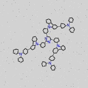 c1ccc(N(c2ccccc2)c2ccc(-c3ccc4c(c3)c3ccccc3n4-c3cccc(-c4cc(-c5cccc(-n6c7ccccc7c7cc(-c8ccc(N(c9ccccc9)c9ccccc9)cc8)ccc76)c5)nc(-c5cccc(-n6c7ccccc7c7cc(-c8ccc(N(c9ccccc9)c9ccccc9)cc8)ccc76)c5)n4)c3)cc2)cc1